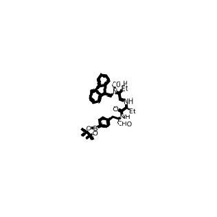 CCC(CN[C@@H](CC)C(=O)N[C@H](C=O)Cc1ccc(B2OC(C)(C)C(C)(C)O2)cc1)N(CC1c2ccccc2-c2ccccc21)C(=O)O